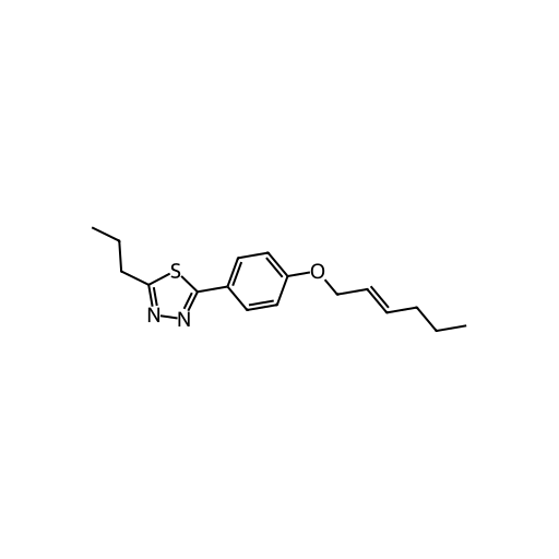 CCCC=CCOc1ccc(-c2nnc(CCC)s2)cc1